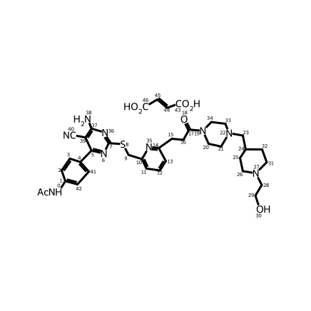 CC(=O)Nc1ccc(-c2nc(SCc3cccc(CCC(=O)N4CCN(CC5CCN(CCO)CC5)CC4)n3)nc(N)c2C#N)cc1.O=C(O)C=CC(=O)O